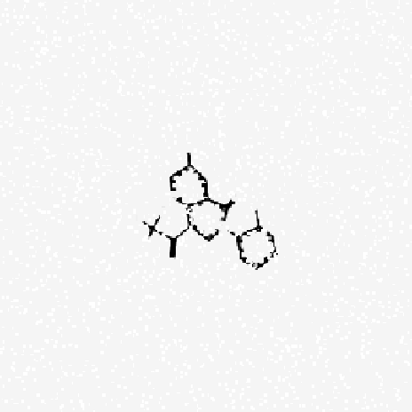 C=C(c1cn(-c2ccccc2C)c(=O)c2cc(F)cnc12)C(F)(F)F